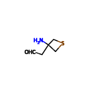 NC1(CC=O)CSC1